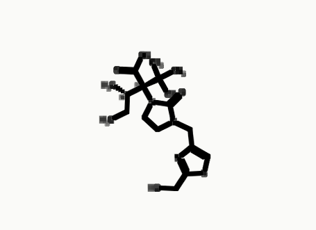 CC[C@H](C)[C@](C(=O)O)(N1CCN(Cc2csc(CO)n2)C1=O)C(C)(C)C